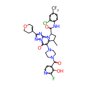 CC1CC(C(=O)Nc2ccc(C(F)(F)F)cc2Cl)n2c1c(N1CCN(C(=O)c3ccnc(F)c3O)CC1)c(=O)n1nc(C3=CCOCC3)nc21